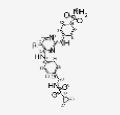 NS(=O)(=O)c1ccc(Nc2ncc(F)c(Nc3ccc(CNS(=O)(=O)C4CC4)cc3)n2)cc1